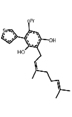 CCCc1cc(O)c(CC=C(C)CCC=C(C)C)c(O)c1-c1ccsc1